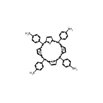 Bc1ccc(-c2c3nc(c(-c4ccc(B)cc4)c4ccc([nH]4)c(-c4ccc(B)cc4)c4nc(c(-c5ccc(B)cc5)c5ccc2[nH]5)C=C4)C=C3)cc1